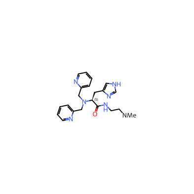 CNCCNC(=O)[C@H](Cc1c[nH]cn1)N(Cc1ccccn1)Cc1ccccn1